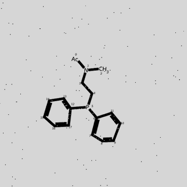 CC(=O)N(C)CCP(c1ccccc1)c1ccccc1